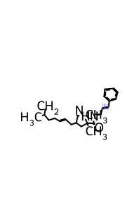 C=CC(C)CCC=CCC(C#N)CC(C)(CC)C(=O)NC/C=C/c1ccccc1